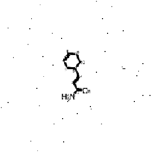 NC(=O)/C=C/C1CC=CCC1